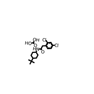 CC(C)(C)C1CCC(NC(=O)Cc2ccc(Cl)cc2Cl)CC1.O=C(O)O